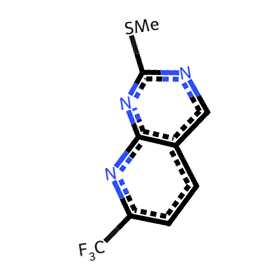 CSc1ncc2ccc(C(F)(F)F)nc2n1